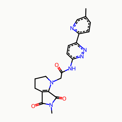 Cc1ccc(-c2ccc(NC(=O)CN3CCCC4=C3C(=O)N(C)C4=O)nn2)nc1